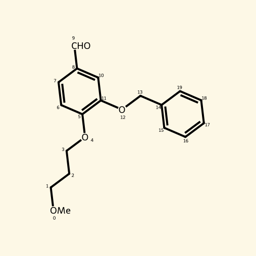 COCCCOc1ccc(C=O)cc1OCc1ccccc1